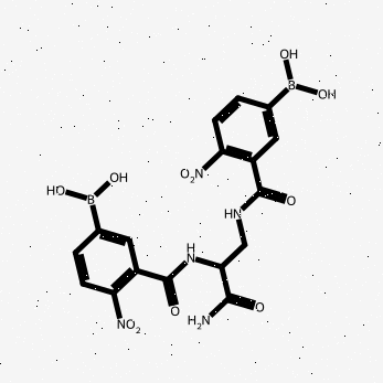 NC(=O)C(CNC(=O)c1cc(B(O)O)ccc1[N+](=O)[O-])NC(=O)c1cc(B(O)O)ccc1[N+](=O)[O-]